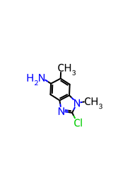 Cc1cc2c(cc1N)nc(Cl)n2C